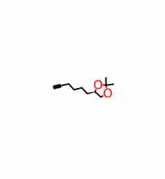 C#CCCCC[C@@H]1COC(C)(C)O1